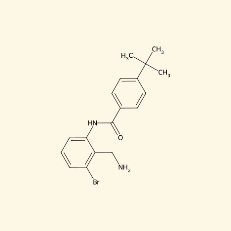 CC(C)(C)c1ccc(C(=O)Nc2cccc(Br)c2CN)cc1